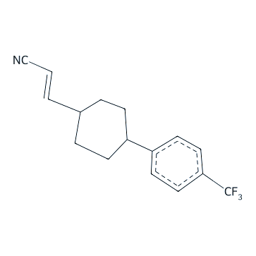 N#CC=CC1CCC(c2ccc(C(F)(F)F)cc2)CC1